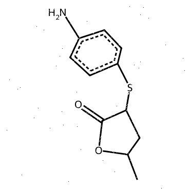 CC1CC(Sc2ccc(N)cc2)C(=O)O1